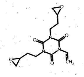 C=Cn1c(=O)n(CCC2CO2)c(=O)n(CCC2CO2)c1=O